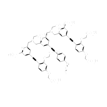 O=C(O)COc1ccc(C#Cc2cc(CN(CC(=O)O)Cc3cc(C#Cc4ccc(N=C=S)cc4)cc(CN(CC(=O)O)Cc4cc(C#Cc5ccc(OCC(=O)O)cc5OCC(=O)O)cc(C(=O)O)n4)n3)nc(C(=O)O)c2)c(OCC(=O)O)c1